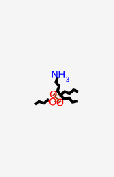 CCCCOS(=O)(=O)C(CCCC)(CCCC)CCCC.N